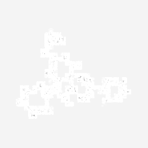 CCC1(NC(=O)c2ccccc2)SCC(CC(=O)O)=NN1C(=O)c1ccccc1